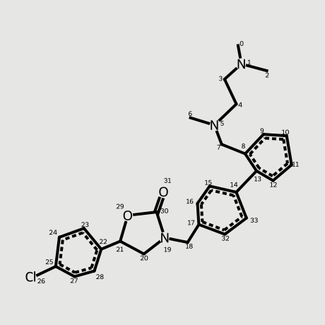 CN(C)CCN(C)Cc1ccccc1-c1ccc(CN2CC(c3ccc(Cl)cc3)OC2=O)cc1